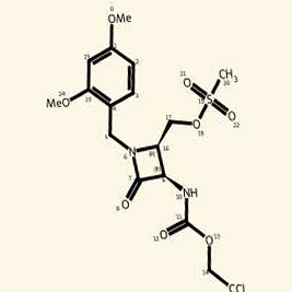 COc1ccc(CN2C(=O)[C@H](NC(=O)OCC(Cl)(Cl)Cl)[C@@H]2COS(C)(=O)=O)c(OC)c1